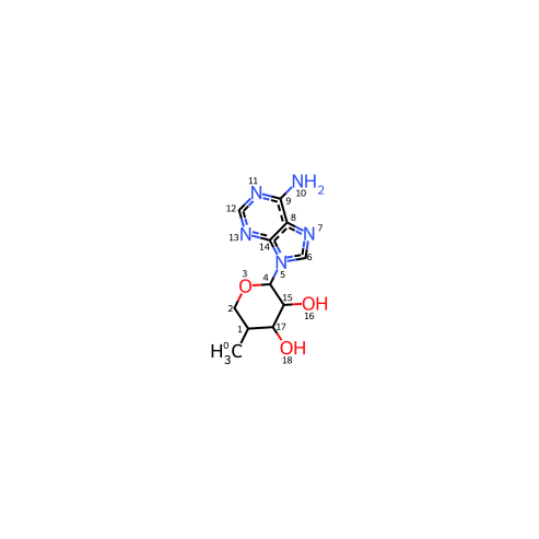 CC1COC(n2cnc3c(N)ncnc32)C(O)C1O